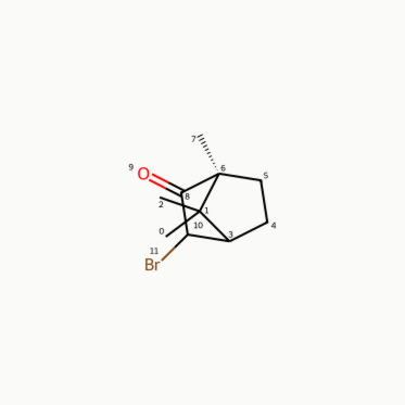 CC1(C)C2CC[C@]1(C)C(=O)C2Br